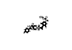 Cc1cc(N(C)C(=O)OC(C)(C)C)cc(C)c1C1CC1S(=O)(=O)N1CCC2(CC1)N=C(C1CCC(C)CC1)NC2=O